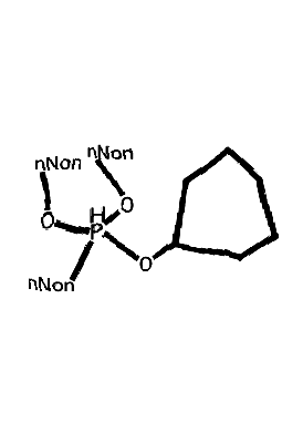 CCCCCCCCCO[PH](CCCCCCCCC)(OCCCCCCCCC)OC1CCCCC1